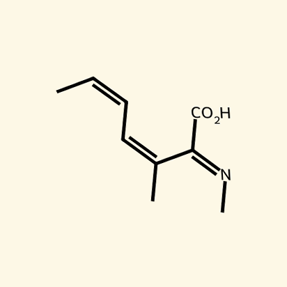 C\C=C/C=C(C)\C(=N/C)C(=O)O